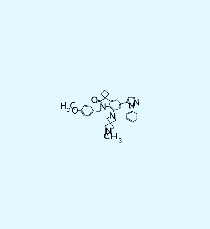 COc1ccc(CN2C(=O)C3(CCC3)c3cc(-c4ccnn4-c4ccccc4)cc(N4CC5(CN(C)C5)C4)c32)cc1